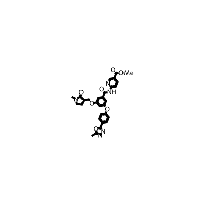 COC(=O)c1ccc(NC(=O)c2cc(OCC3CCN(C)C3=O)cc(Oc3ccc(-c4nnc(C)o4)cc3)c2)nc1